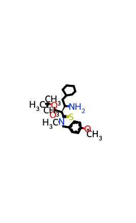 COc1ccc(CN(C)C(=S)[C@@H](C(=O)OC(C)(C)C)C(N)CC2CCCCC2)cc1